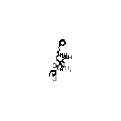 Cn1cc2c(c1C(=O)Nc1ccnc(Cl)c1)CCC(CCCc1ccccc1)NS2=N